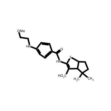 COCCNc1ccc(C(=O)NC2=C(C(=O)O)C3C(CCC3(C)C)S2)cc1